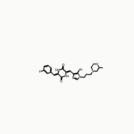 CC1CN(CCCn2cnc(/C=c3\[nH]c(=O)/c(=C/c4cccc(F)c4)[nH]c3=O)c2C(C)C)CCO1